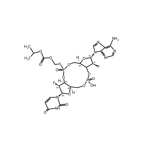 CC(C)OC(=O)OCSP1(=O)OC[C@H]2O[C@@H](n3cnc4c(N)ncnc43)[C@@H](F)C2OP(=O)(O)OC[C@H]2O[C@@H](n3ccc(=O)[nH]c3=O)[C@@H](F)[C@H]2O1